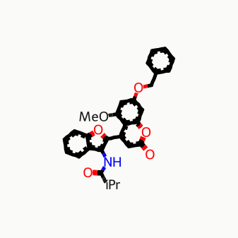 COc1cc(OCc2ccccc2)cc2oc(=O)cc(-c3oc4ccccc4c3NC(=O)C(C)C)c12